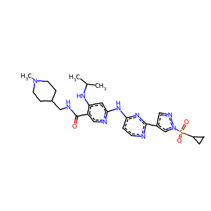 CC(C)Nc1cc(Nc2ccnc(-c3cnn(S(=O)(=O)C4CC4)c3)n2)ncc1C(=O)NCC1CCN(C)CC1